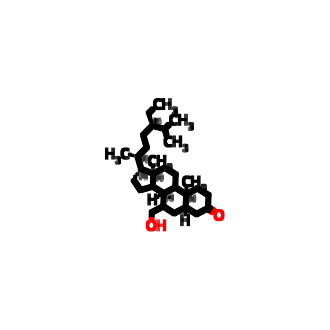 CC[C@H](CC[C@@H](C)[C@H]1CCC2[C@@H]3C(CO)C[C@@H]4CC(=O)CC[C@]4(C)C3CC[C@@]21C)C(C)C